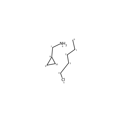 CCCCCCl.NCC1CC1